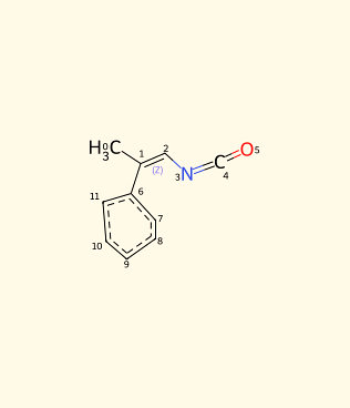 C/C(=C/N=C=O)c1ccccc1